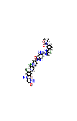 O=C1CCC(Nc2ccc(N3CCC(N4CCC(C(=O)N[C@H]5CC[C@H](Nc6ncc(F)c(-c7cccc(N8CCCOC8=O)c7)n6)CC5)CC4)C(F)(F)C3)c(F)c2)C(=O)N1